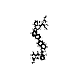 COC(=O)N[C@H](C(=O)N1[C@@H]2CC[C@@H](C2)[C@H]1C1=NC2CCc3cc(-c4ccc5c(ccc6nc([C@@H]7CCCN7C(=O)[C@@H](NC(=O)OC)[C@@H](C)OC)[nH]c65)c4)ccc3C2N1)C(C)C